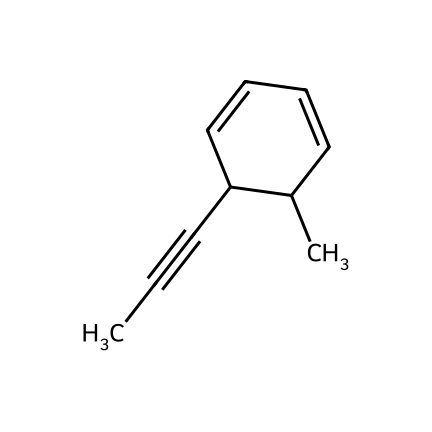 CC#CC1C=CC=CC1C